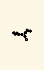 c1ccc(-c2ccc(N(c3ccc(-c4ccc5c(ccc6c7ccccc7ccc56)c4)cc3)c3ccc(-c4cccc5c4sc4ccccc45)cc3)cc2)cc1